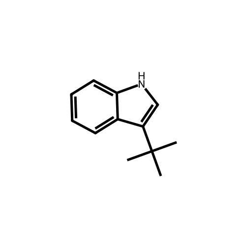 CC(C)(C)c1c[nH]c2ccccc12